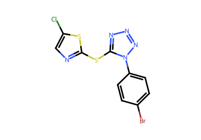 Clc1cnc(Sc2nnnn2-c2ccc(Br)cc2)s1